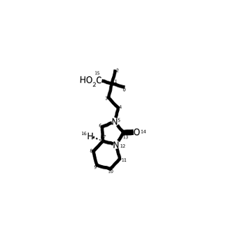 CC(C)(CCN1C[C@@H]2CCCCN2C1=O)C(=O)O